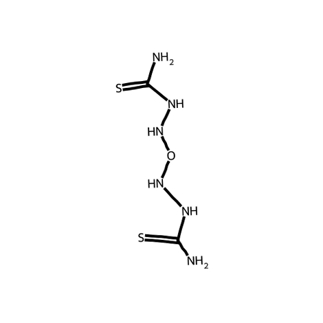 NC(=S)NNONNC(N)=S